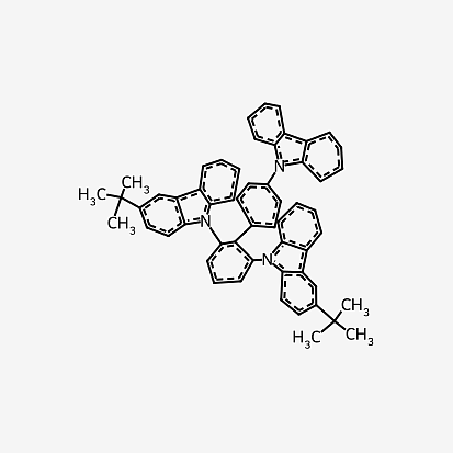 CC(C)(C)c1ccc2c(c1)c1ccccc1n2-c1cccc(-n2c3ccccc3c3cc(C(C)(C)C)ccc32)c1-c1ccc(-n2c3ccccc3c3ccccc32)cc1